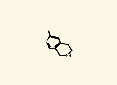 Ic1cc2c(cn1)CNCC2